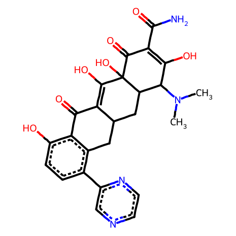 CN(C)C1C(O)=C(C(N)=O)C(=O)C2(O)C(O)=C3C(=O)c4c(O)ccc(-c5cnccn5)c4CC3CC12